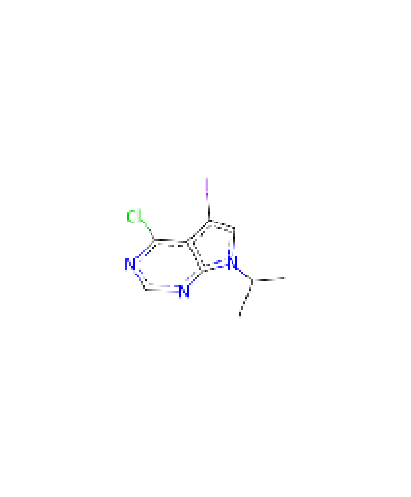 CC(C)n1cc(I)c2c(Cl)ncnc21